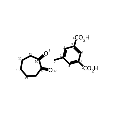 Cc1cc(C(=O)O)cc(C(=O)O)c1.O=C1CCCCCC1=O